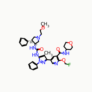 COCCN1C[C@@H](NC(=O)Nc2c(C)c(-c3cnc(OCF)c(C(=O)NC4CCOCC4)c3)nn2-c2ccccc2)[C@H](c2ccccc2)C1